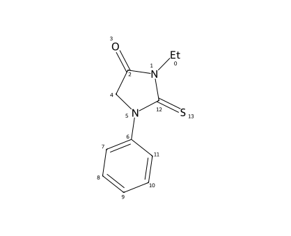 CCN1C(=O)CN(c2ccccc2)C1=S